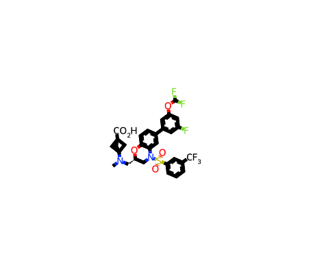 CN(C[C@H]1CN(S(=O)(=O)c2cccc(C(F)(F)F)c2)c2cc(-c3cc(F)cc(OC(F)F)c3)ccc2O1)C12CC(C(=O)O)(C1)C2